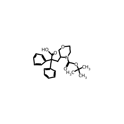 CC(C)(C)OC(=O)N1CCOCC1CC(C(=O)O)(c1ccccc1)c1ccccc1